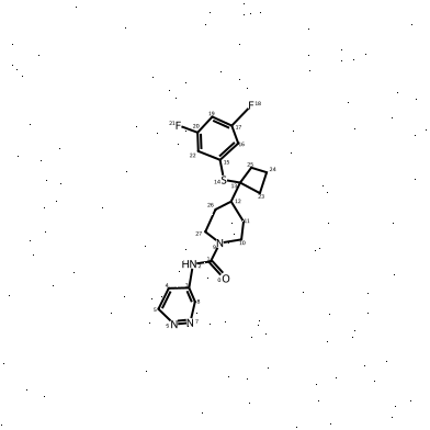 O=C(Nc1ccnnc1)N1CCC(C2(Sc3cc(F)cc(F)c3)CCC2)CC1